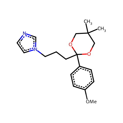 COc1ccc(C2(CCCn3ccnc3)OCC(C)(C)CO2)cc1